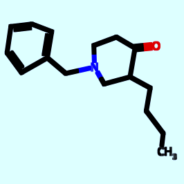 CCCCC1CN(Cc2ccccc2)CCC1=O